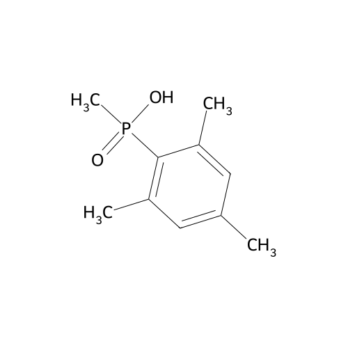 Cc1cc(C)c(P(C)(=O)O)c(C)c1